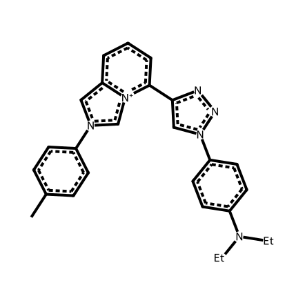 CCN(CC)c1ccc(-n2cc(-c3cccc4cn(-c5ccc(C)cc5)c[n+]34)nn2)cc1